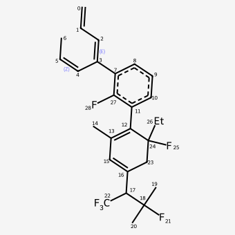 C=C/C=C(\C=C/C)c1cccc(C2=C(C)C=C(C(C(C)(C)F)C(F)(F)F)CC2(F)CC)c1F